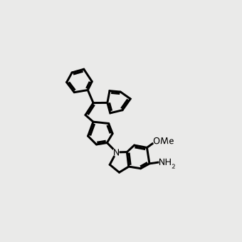 COc1cc2c(cc1N)CCN2c1ccc(C=C(c2ccccc2)c2ccccc2)cc1